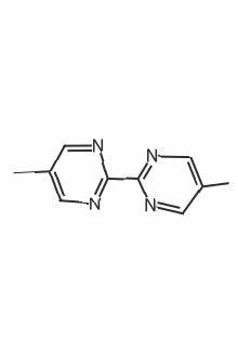 Cc1cnc(-c2ncc(C)cn2)nc1